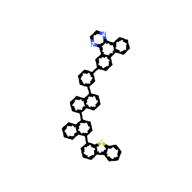 c1cc(-c2ccc3c4ccccc4c4nccnc4c3c2)cc(-c2cccc3c(-c4ccc(-c5cccc6c5sc5ccccc56)c5ccccc45)cccc23)c1